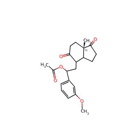 COc1cccc(C(CC2C(=O)CC[C@]3(C)C(=O)CCC23)OC(C)=O)c1